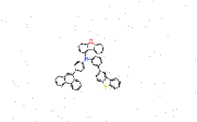 c1cc(-c2ccc3sc4ccccc4c3c2)cc(N(c2ccc(-c3cc4ccccc4c4ccccc34)cc2)c2cccc3oc4ccccc4c23)c1